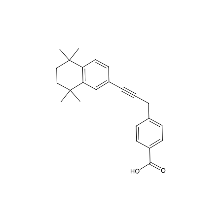 CC1(C)CCC(C)(C)c2cc(C#CCc3ccc(C(=O)O)cc3)ccc21